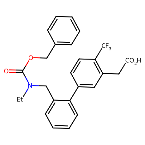 CCN(Cc1ccccc1-c1ccc(C(F)(F)F)c(CC(=O)O)c1)C(=O)OCc1ccccc1